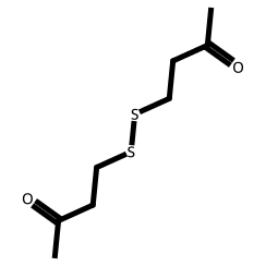 CC(=O)CCSSCCC(C)=O